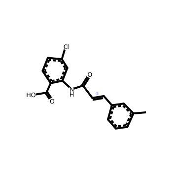 Cc1cccc(/C=C/C(=O)Nc2cc(Cl)ccc2C(=O)O)c1